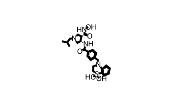 CC(C)CN1C[C@H](C(=O)NO)[C@H](NC(=O)c2ccc(CN3CCS(O)(O)c4ccccc43)cc2)C1